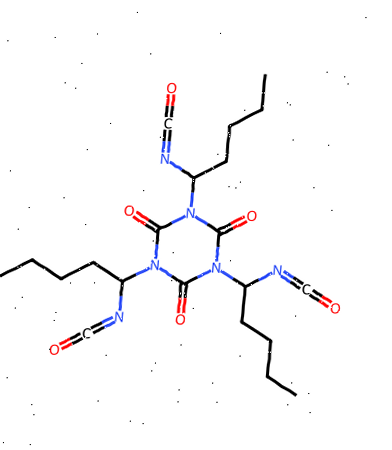 CCCCC(N=C=O)n1c(=O)n(C(CCCC)N=C=O)c(=O)n(C(CCCC)N=C=O)c1=O